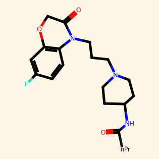 CCCC(=O)NC1CCN(CCCN2C(=O)COc3cc(F)ccc32)CC1